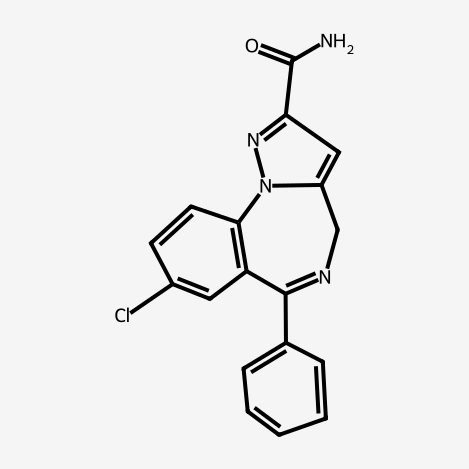 NC(=O)c1cc2n(n1)-c1ccc(Cl)cc1C(c1ccccc1)=NC2